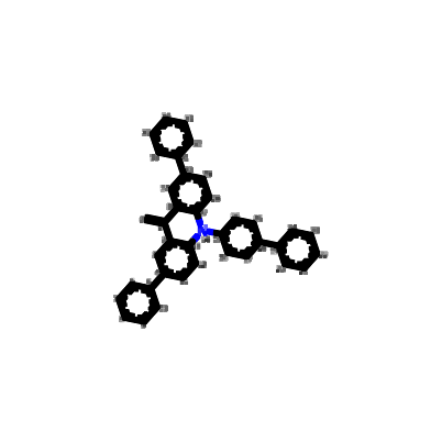 C=C1c2cc(-c3ccccc3)ccc2N(c2ccc(-c3ccccc3)cc2)c2ccc(-c3ccccc3)cc21